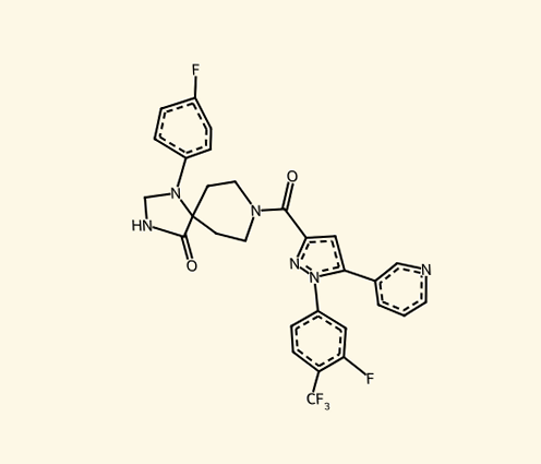 O=C(c1cc(-c2cccnc2)n(-c2ccc(C(F)(F)F)c(F)c2)n1)N1CCC2(CC1)C(=O)NCN2c1ccc(F)cc1